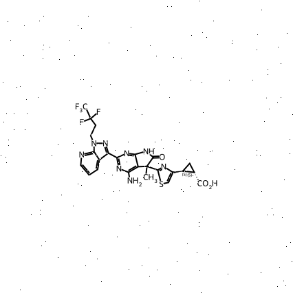 CC1(c2nc([C@H]3C[C@@H]3C(=O)O)cs2)C(=O)Nc2nc(-c3nn(CCC(F)(F)C(F)(F)F)c4ncccc34)nc(N)c21